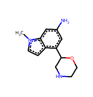 Cn1ccc2c(C3CNCCO3)cc(N)cc21